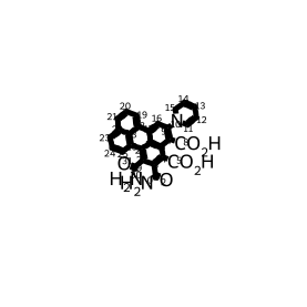 NC(=O)c1c(C(=O)O)c2c(C(=O)O)c(N3C=CC=CC3)cc3c4cccc5cccc(c(c1C(N)=O)c23)c54